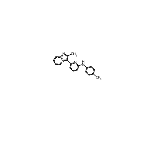 Cc1nc2ccccn2c1-c1cccc(Nc2ccc(C(F)(F)F)cc2)n1